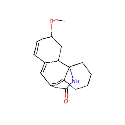 COC1C=CC2=CC3=C4CCCCC4(NC3=O)C2C1